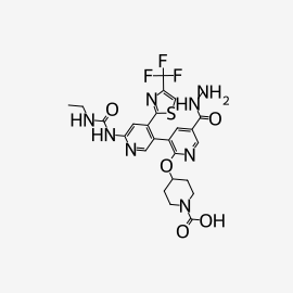 CCNC(=O)Nc1cc(-c2nc(C(F)(F)F)cs2)c(-c2cc(C(=O)NN)cnc2OC2CCN(C(=O)O)CC2)cn1